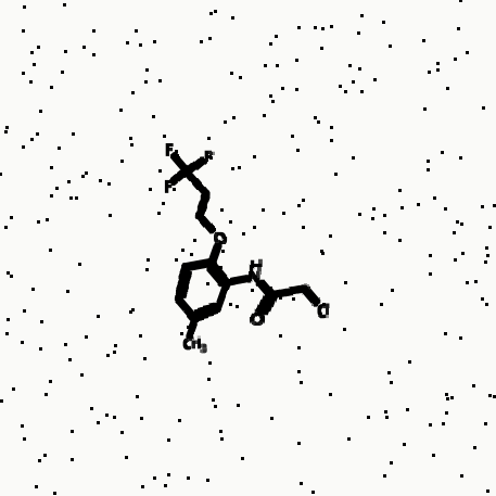 Cc1ccc(OCCC(F)(F)F)c(NC(=O)CCl)c1